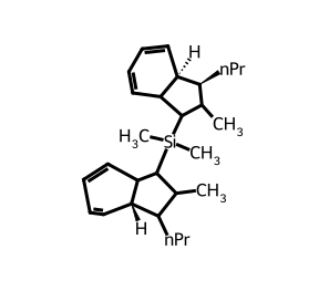 CCCC1C(C)C([Si](C)(C)C2C3C=CC=C[C@H]3[C@@H](CCC)C2C)C2C=CC=C[C@H]21